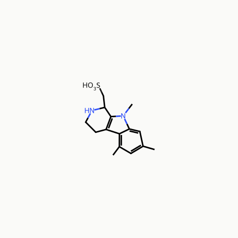 Cc1cc(C)c2c3c(n(C)c2c1)C(CS(=O)(=O)O)NCC3